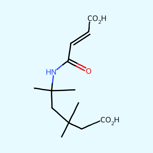 CC(C)(CC(=O)O)CC(C)(C)NC(=O)C=CC(=O)O